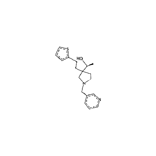 C[C@H](O)C1(CCc2cccs2)CCN(Cc2cccnc2)C1